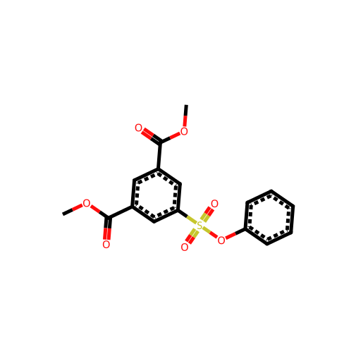 COC(=O)c1cc(C(=O)OC)cc(S(=O)(=O)Oc2ccccc2)c1